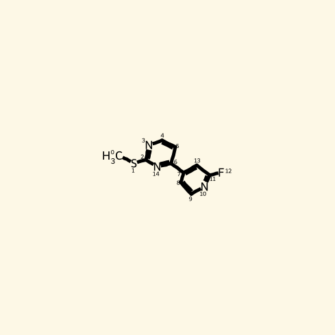 CSc1nccc(-c2ccnc(F)c2)n1